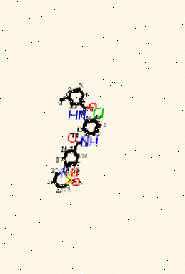 Cc1cccc(C(=O)Nc2cc(NC(=O)c3ccc(N4CCCCS4(=O)=O)cc3)ccc2Cl)c1